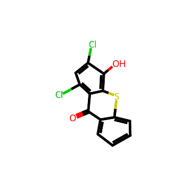 O=c1c2ccccc2sc2c(O)c(Cl)cc(Cl)c12